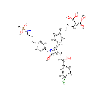 CS(=O)(=O)NCCCc1ccc(N2C(=O)C(CC[C@H](O)c3ccc(F)cc3)[C@H]2c2ccc(CCCCC(C(=O)O)C(=O)O)cc2)cc1